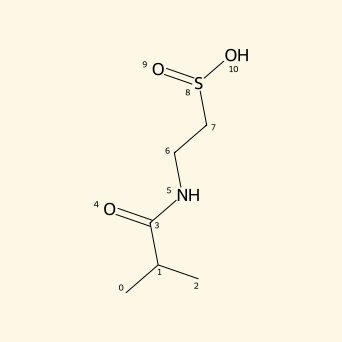 CC(C)C(=O)NCCS(=O)O